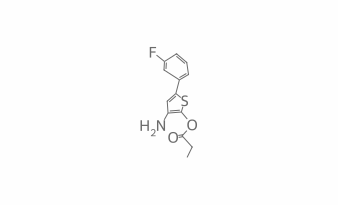 CCC(=O)Oc1sc(-c2cccc(F)c2)cc1N